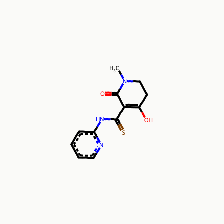 CN1CCC(O)=C(C(=S)Nc2ccccn2)C1=O